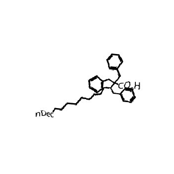 CCCCCCCCCCCCCCCCCCCC(Cc1ccccc1)C(Cc1ccccc1)(Cc1ccccc1)C(=O)O